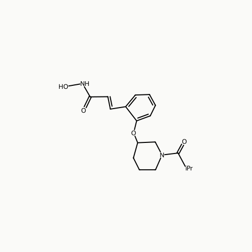 CC(C)C(=O)N1CCCC(Oc2ccccc2C=CC(=O)NO)C1